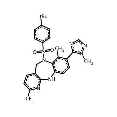 Cc1c(-c2ncnn2C)ccc2c1N(S(=O)(=O)c1ccc(C(C)(C)C)cc1)Cc1ccc(C(F)(F)F)nc1N2